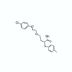 Cc1ccc(SC(CCOCCOc2ccc(Cl)cc2)C(=O)O)cc1